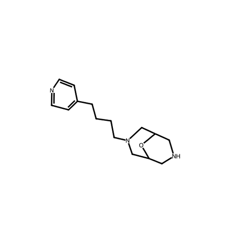 c1cc(CCCCN2CC3CNCC(C2)O3)ccn1